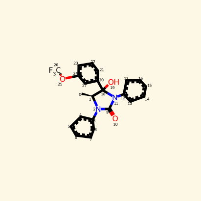 C[C@@H]1N(c2ccccc2)C(=O)N(c2ccccc2)C1(O)c1cccc(OC(F)(F)F)c1